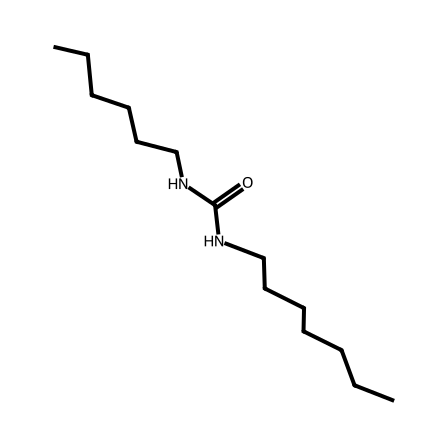 CCCCCCCNC(=O)NCCCCCC